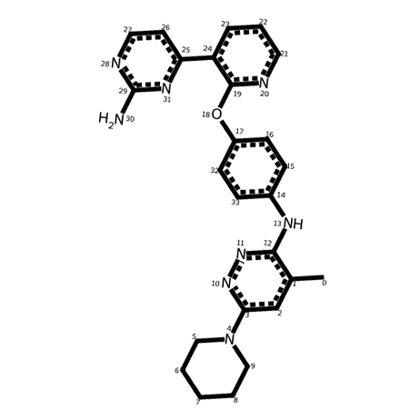 Cc1cc(N2CCCCC2)nnc1Nc1ccc(Oc2ncccc2-c2ccnc(N)n2)cc1